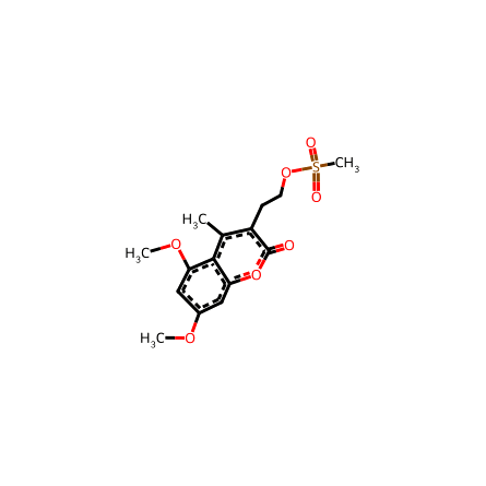 COc1cc(OC)c2c(C)c(CCOS(C)(=O)=O)c(=O)oc2c1